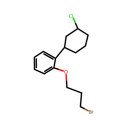 ClC1CCCC(c2ccccc2OCCCBr)C1